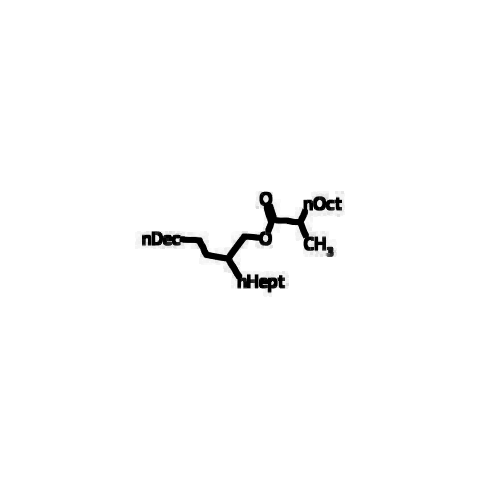 CCCCCCCCCCCCC(CCCCCCC)COC(=O)C(C)CCCCCCCC